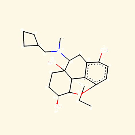 CCC[C@@]12c3c4ccc(O)c3CC(N(C)CC3CCC3)C1(O)CC[C@H](O)C2O4